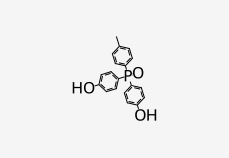 Cc1ccc(P(=O)(c2ccc(O)cc2)c2ccc(O)cc2)cc1